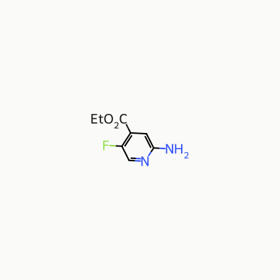 CCOC(=O)c1cc(N)ncc1F